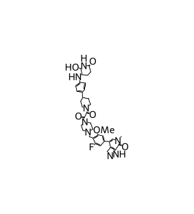 COc1cc(-c2cn(C)c(=O)c3[nH]ncc23)cc(F)c1CN1CCN(C(=O)C(=O)N2CCC(c3ccc(NC4CCC(=O)NC4O)cc3)CC2)CC1